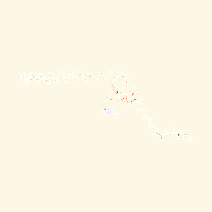 CCCC/C=C\CCCCCCCC(=O)O[C@H](CO/C=C\CCCCCCCCCCCCCCCCCC)COP(=O)(O)OCCN